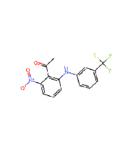 CC(=O)c1c(Nc2cccc(C(F)(F)F)c2)cccc1[N+](=O)[O-]